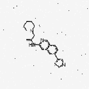 C=C(CN1CCCCC1)Nc1cc2cc(-c3cncs3)ccc2cn1